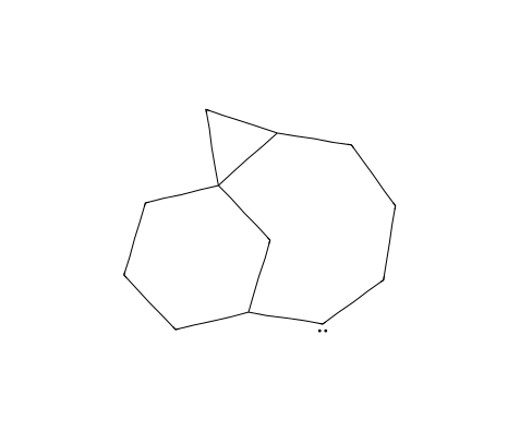 [C]1CCCC2CC23CCCC1C3